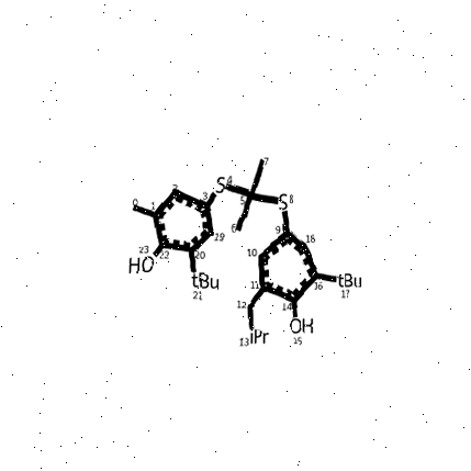 Cc1cc(SC(C)(C)Sc2cc(CC(C)C)c(O)c(C(C)(C)C)c2)cc(C(C)(C)C)c1O